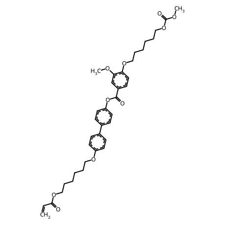 C=CC(=O)OCCCCCCOc1ccc(-c2ccc(OC(=O)c3ccc(OCCCCCCOC(=O)OC)c(OC)c3)cc2)cc1